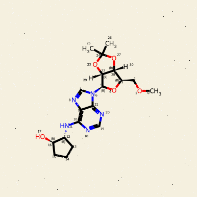 COC[C@H]1O[C@@H](n2cnc3c(N[C@@H]4CCC[C@H]4O)ncnc32)[C@@H]2OC(C)(C)O[C@@H]21